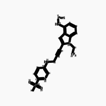 CCCC(C)Nc1cccc2c1cc(C#CCNc1ccc(S(C)(=O)=O)nc1)n2CC(F)(F)F